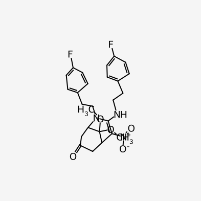 COC1(OC)C2CC(=O)CC1N(CCc1ccc(F)cc1)C(NCCc1ccc(F)cc1)=C2[N+](=O)[O-]